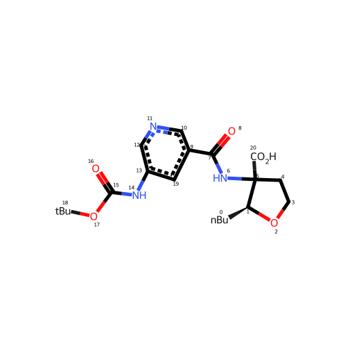 CCCC[C@@H]1OCCC1(NC(=O)c1cncc(NC(=O)OC(C)(C)C)c1)C(=O)O